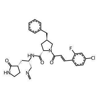 C=NC[C@H](C[C@@H]1CCNC1=O)NC(=O)[C@@H]1C[C@@H](Cc2ccccc2)CN1C(=O)/C=C/c1ccc(Cl)cc1F